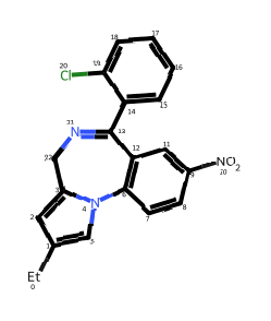 CCc1cc2n(c1)-c1ccc([N+](=O)[O-])cc1C(c1ccccc1Cl)=NC2